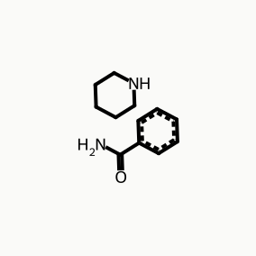 C1CCNCC1.NC(=O)c1ccccc1